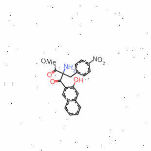 COC(=O)[C@](N)(Cc1ccc([N+](=O)[O-])cc1)C(=O)c1cc2ccccc2cc1O